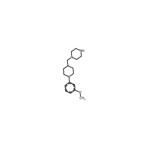 COc1cccc(N2CCC(CN3CCNCC3)CC2)c1